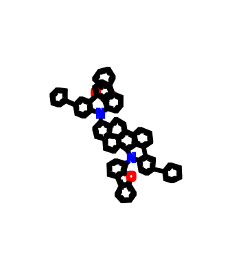 c1ccc(-c2ccc(N(c3ccc4ccc5c(N(c6ccc(-c7ccccc7)cc6-c6ccccc6)c6cccc7c6oc6ccccc67)ccc6ccc3c4c65)c3cccc4c3oc3ccccc34)c(-c3ccccc3)c2)cc1